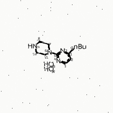 CCCCc1ccnc(N2CCNCC2)n1.Cl.Cl